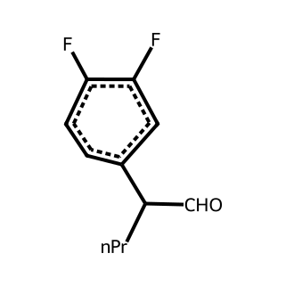 CCCC(C=O)c1ccc(F)c(F)c1